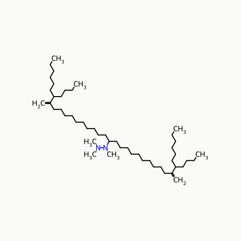 C=C(CCCCCCCCCCC(CCCCCCCCCCC(=C)C(CCCC)CCCCCC)N(C)N(C)C)C(CCCC)CCCCCC